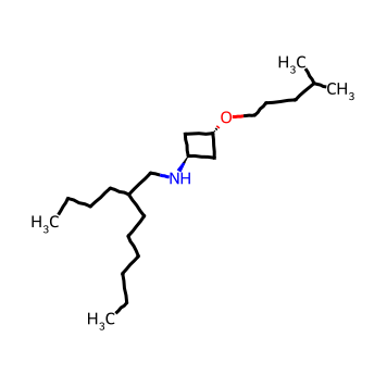 CCCCCCC(CCCC)CN[C@H]1C[C@H](OCCCC(C)C)C1